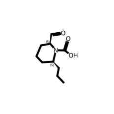 CCC[C@H]1CCC[C@@H](C=O)N1C(=O)O